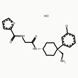 Cl.NC[C@]1(c2cccc(Cl)c2)CC[C@@H](NC(=O)CNC(=O)c2ccco2)CC1